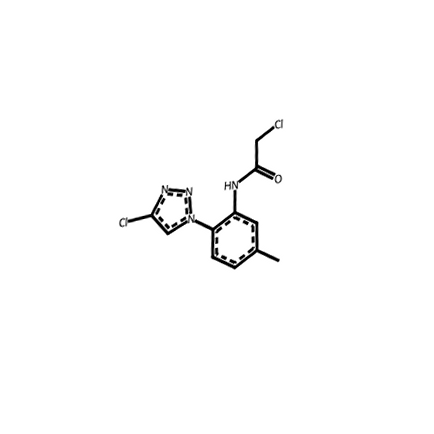 Cc1ccc(-n2cc(Cl)nn2)c(NC(=O)CCl)c1